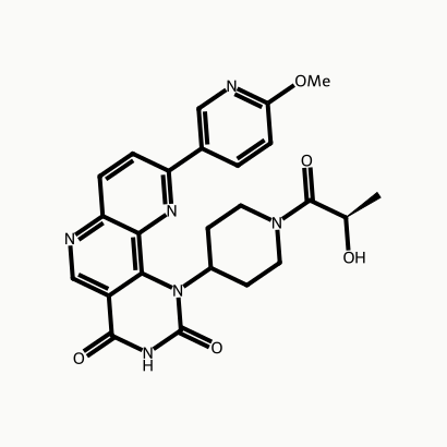 COc1ccc(-c2ccc3ncc4c(=O)[nH]c(=O)n(C5CCN(C(=O)[C@@H](C)O)CC5)c4c3n2)cn1